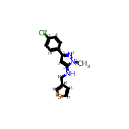 Cn1nc(-c2ccc(Cl)cc2)cc1NCc1ccsc1